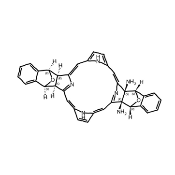 N[C@@]12c3cc4ccc(cc5nc(cc6ccc(cc(n3)[C@]1(N)[C@H]1O[C@@H]2c2ccccc21)[nH]6)[C@H]1[C@@H]5[C@@H]2O[C@H]1c1ccccc12)[nH]4